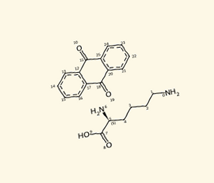 NCCCC[C@H](N)C(=O)O.O=C1c2ccccc2C(=O)c2ccccc21